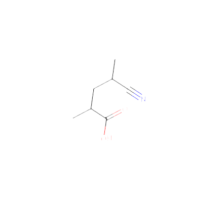 CC(C#N)CC(C)C(=O)O